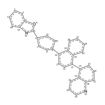 c1ccc2oc(-c3ccc(-c4ccc(-c5cccc6ncccc56)c5ccccc45)cc3)nc2c1